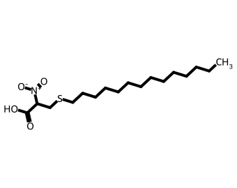 CCCCCCCCCCCCCCSCC(C(=O)O)[N+](=O)[O-]